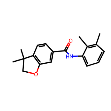 Cc1cccc(NC(=O)c2ccc3c(c2)OCC3(C)C)c1C